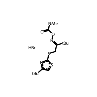 Br.CNC(=O)ON=C(CSc1nc(C(C)(C)C)cs1)C(C)(C)C